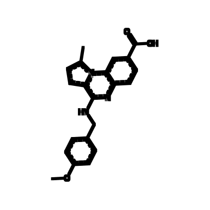 COc1ccc(CNc2nc3ccc(C(=O)O)cc3n3c(C)ccc23)cc1